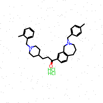 Cc1ccc(CN2CCCc3ccc(C(=O)CCC4CCN(Cc5ccccc5C)CC4)cc3C2)cc1.Cl.Cl